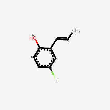 C/C=C/c1cc(F)ccc1O